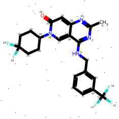 Cc1nc(NCc2cccc(C(F)(F)F)c2)c2cn(C3CCC(F)(F)CC3)c(=O)cc2n1